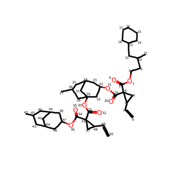 C=CC1CC1(C(=O)OCCC(C)CC1CCCCC1)C(=O)OC1CC2CC(C)CC(OC(=O)C3(C(=O)OC4CC5CC(C)CC(C5)C4)CC3C=C)(C2)C1